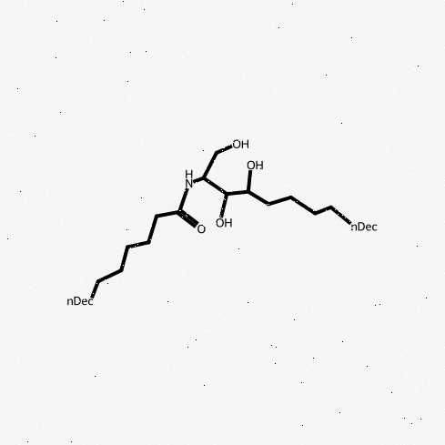 CCCCCCCCCCCCCCCC(=O)NC(CO)C(O)C(O)CCCCCCCCCCCCCC